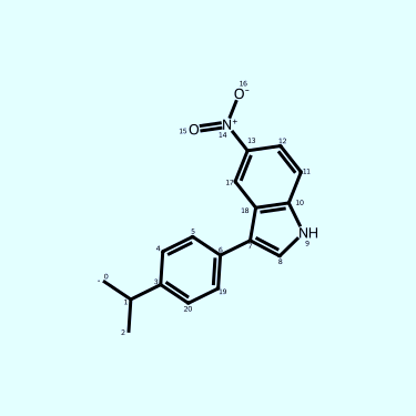 [CH2]C(C)c1ccc(-c2c[nH]c3ccc([N+](=O)[O-])cc23)cc1